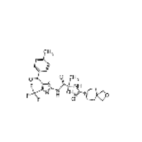 Cc1ccc(C(=O)c2sc(NC(=O)C(C)(C)NC(=O)N3CCC4(CC3)COC4)nc2C(F)(F)F)cc1